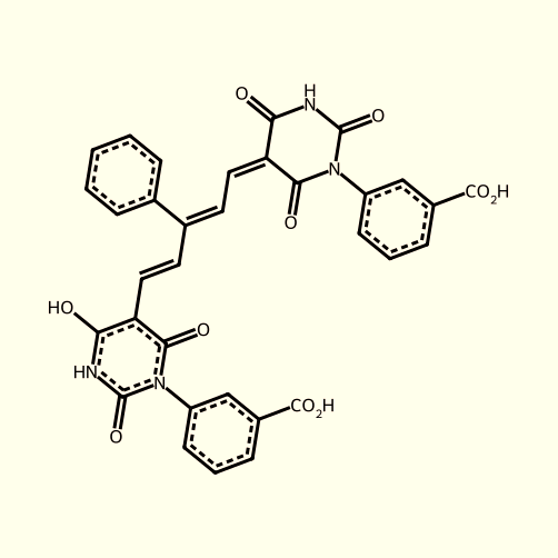 O=C1NC(=O)N(c2cccc(C(=O)O)c2)C(=O)/C1=C\C=C(C=Cc1c(O)[nH]c(=O)n(-c2cccc(C(=O)O)c2)c1=O)c1ccccc1